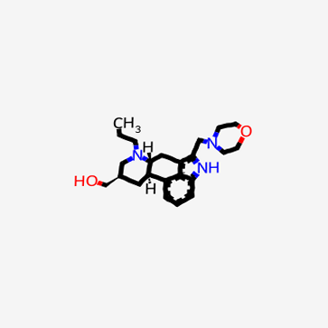 CCCN1C[C@H](CO)C[C@@H]2c3cccc4[nH]c(CN5CCOCC5)c(c34)C[C@H]21